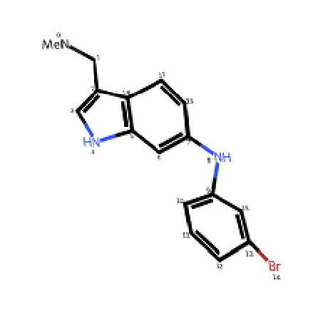 CNCc1c[nH]c2cc(Nc3cccc(Br)c3)ccc12